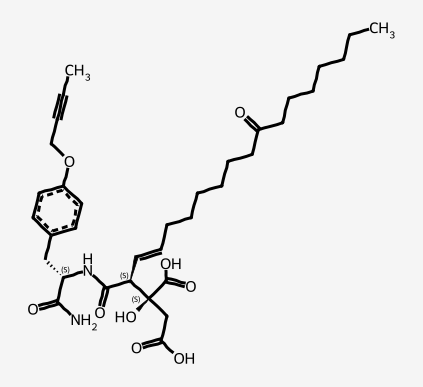 CC#CCOc1ccc(C[C@H](NC(=O)[C@@H](C=CCCCCCCC(=O)CCCCCCC)[C@@](O)(CC(=O)O)C(=O)O)C(N)=O)cc1